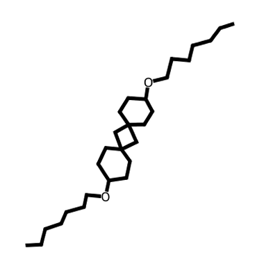 CCCCCCCOC1CCC2(CC1)CC1(CCC(OCCCCCCC)CC1)C2